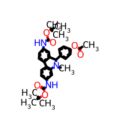 CC(=O)Oc1ccc(C2c3cc(NC(=O)OC(C)(C)C)ccc3-c3ccc(NC(=O)OC(C)(C)C)cc3N2C)cc1